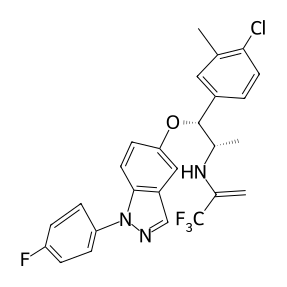 C=C(N[C@@H](C)[C@H](Oc1ccc2c(cnn2-c2ccc(F)cc2)c1)c1ccc(Cl)c(C)c1)C(F)(F)F